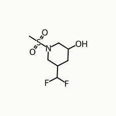 CS(=O)(=O)N1CC(O)CC(C(F)F)C1